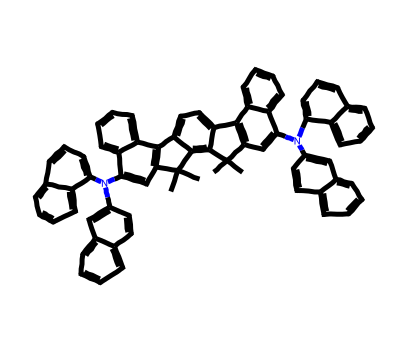 CC1(C)c2cc(N(c3ccc4ccccc4c3)c3cccc4ccccc34)c3ccccc3c2-c2ccc3c(c21)C(C)(C)c1cc(N(c2ccc4ccccc4c2)c2cccc4ccccc24)c2ccccc2c1-3